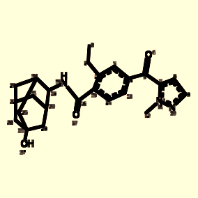 CCc1cc(C(=O)c2ccnn2C)ccc1C(=O)NC1C2CC3CC1CC(O)(C3)C2